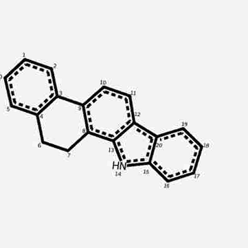 c1ccc2c(c1)CCc1c-2ccc2c1[nH]c1ccccc12